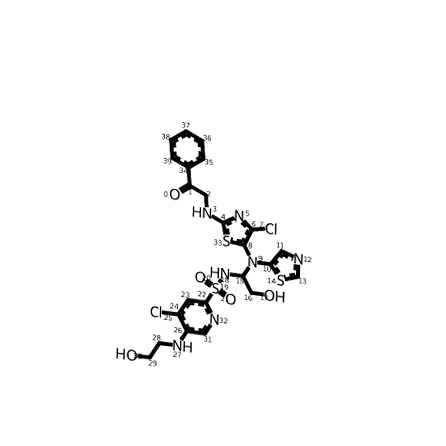 O=C(CNc1nc(Cl)c(N(c2cncs2)C(CO)NS(=O)(=O)c2cc(Cl)c(NCCO)cn2)s1)c1ccccc1